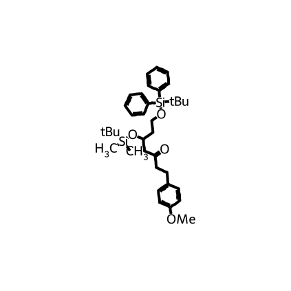 COc1ccc(CCC(=O)CC(CCO[Si](c2ccccc2)(c2ccccc2)C(C)(C)C)O[Si](C)(C)C(C)(C)C)cc1